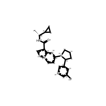 C[C@@H](NC(=O)c1cnn2ccc(N3CCCC3c3cncc(F)c3)nc12)C1CC1